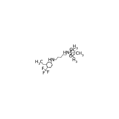 CCc1cc(NCCCCCNS(=O)(=O)C(C)(C)C)ccc1C(F)(F)F